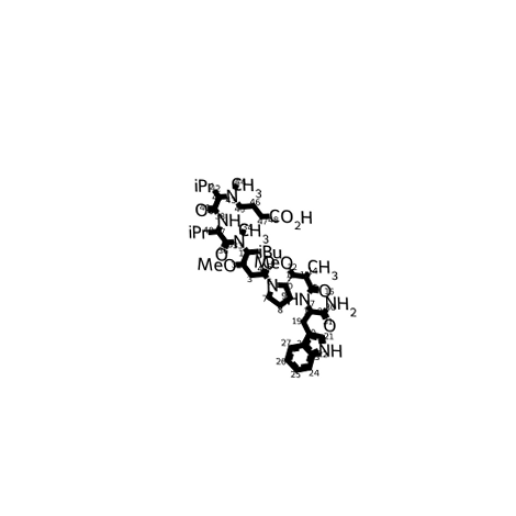 CCC(C)C(C(CC(=O)N1CCC[C@H]1C(OC)C(C)C(=O)NC(Cc1c[nH]c2ccccc12)C(N)=O)OC)N(C)C(=O)C(NC(=O)C(C(C)C)N(C)CCCC(=O)O)C(C)C